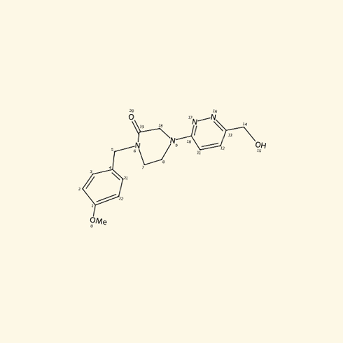 COc1ccc(CN2CCN(c3ccc(CO)nn3)CC2=O)cc1